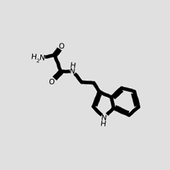 NC(=O)C(=O)NCCc1c[nH]c2ccccc12